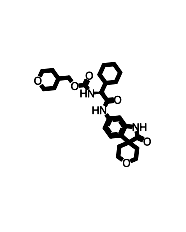 O=C(N[C@H](C(=O)Nc1ccc2c(c1)NC(=O)C21CCOCC1)C1CCCCC1)OCC1CCOCC1